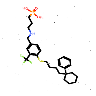 O=P(O)(O)CCCNCc1ccc(SCCCCC2(c3ccccc3)CCCCC2)c(C(F)(F)F)c1